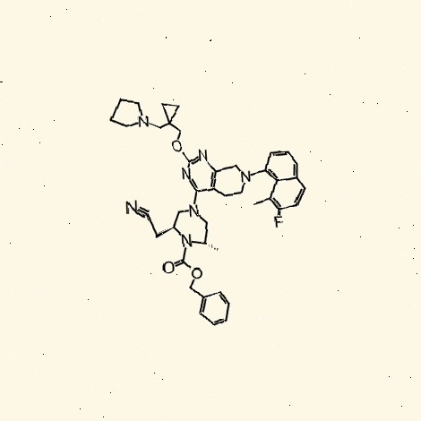 Cc1c(F)ccc2cccc(N3CCc4c(nc(OCC5(CN6CCCC6)CC5)nc4N4C[C@H](CC#N)N(C(=O)OCc5ccccc5)[C@@H](C)C4)C3)c12